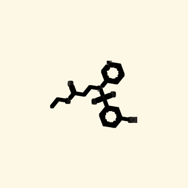 CCOC(=O)CCN(c1cccnc1)S(=O)(=O)c1cccc(O)c1